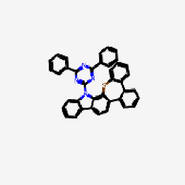 c1ccc(-c2nc(-c3ccccc3)nc(-n3c4ccccc4c4ccc5c(c43)Sc3ccccc3-c3ccccc3-5)n2)cc1